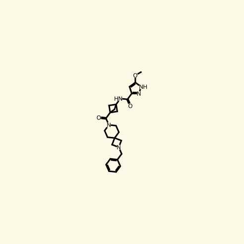 COc1cc(C(=O)NC23CC(C(=O)N4CCC5(CC4)CN(Cc4ccccc4)C5)(C2)C3)n[nH]1